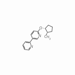 C[C@@H]1CCC[C@H]1Oc1ccc(-c2ccccn2)cn1